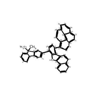 CC1(C)c2ccccc2-c2ccc(-c3ccc(-c4ccc5ccc6cccc7ccc4c5c67)c4c3oc3c5ccccc5ccc34)cc21